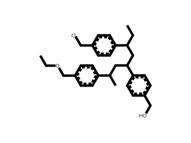 CCOCc1ccc(C(C)CC(CC(CC)c2ccc(CCl)cc2)c2ccc(CO)cc2)cc1